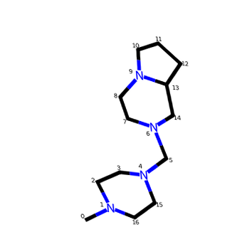 CN1CCN(CN2CCN3CCCC3C2)CC1